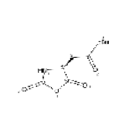 CC(C)(C)C(=O)C[C@@H]1NC(=O)OC1=O